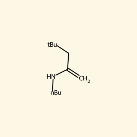 C=C(CC(C)(C)C)NCCCC